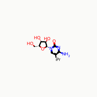 CC(C)c1cn([C@@H]2O[C@H](CO)[C@H](O)[C@H]2O)c(=O)nc1N